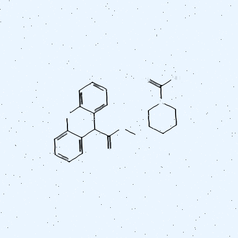 C=C(OC[C@H]1CCCN(C(=N)N)C1)C1c2ccccc2Oc2ccccc21